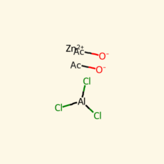 CC(=O)[O-].CC(=O)[O-].[Cl][Al]([Cl])[Cl].[Zn+2]